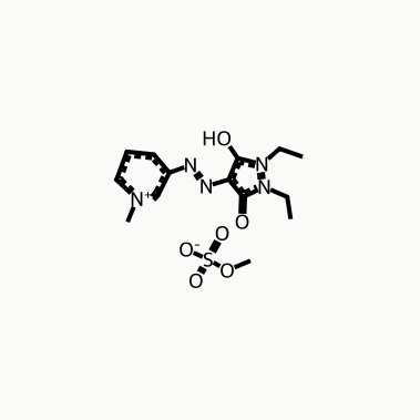 CCn1c(O)c(/N=N/c2ccc[n+](C)c2)c(=O)n1CC.COS(=O)(=O)[O-]